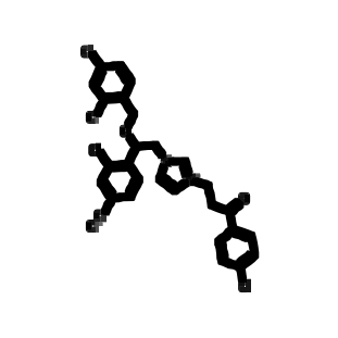 O=C(CC[n+]1ccn(CC(OCc2ccc(Cl)cc2Cl)c2ccc(Cl)cc2Cl)c1)c1ccc(Cl)cc1.[Cl-]